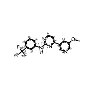 COc1cncc(-c2ccnc(Nc3cccc(C(F)(F)F)c3)n2)c1